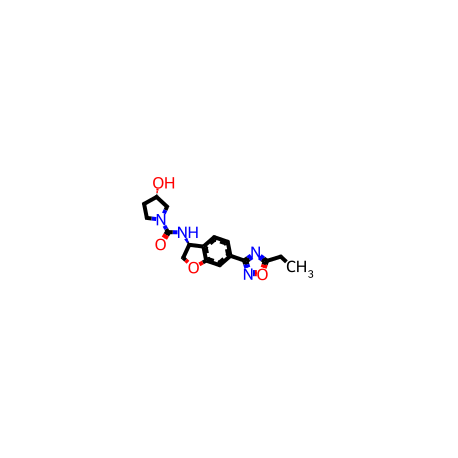 CCc1nc(-c2ccc3c(c2)OC[C@H]3NC(=O)N2CC[C@H](O)C2)no1